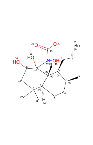 CC[C@@H](C)CC[C@H]1[C@@H](C)CC[C@H]2C(C)(C)CC(O)C(O)(N(O)C([O])=O)[C@]12C